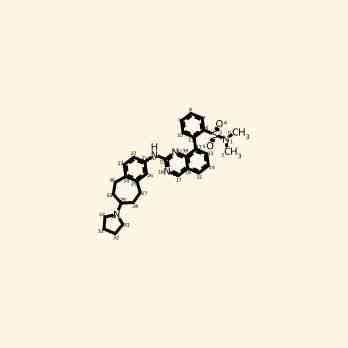 CN(C)S(=O)(=O)c1ccccc1-c1cccc2cnc(Nc3ccc4c(c3)CCC(N3CCCC3)CC4)nc12